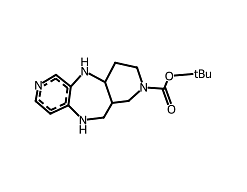 CC(C)(C)OC(=O)N1CCC2Nc3cnccc3NCC2C1